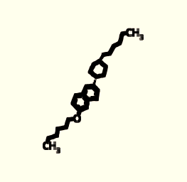 CCCCCCOc1ccc2cc([C@H]3CC[C@H](CCCCCC)CC3)ccc2c1